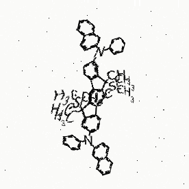 CC1([Si](C)(C)C)c2cc(N(c3ccccc3)c3ccc4ccccc4c3)ccc2-c2cc3c(cc21)-c1ccc(N(c2ccccc2)c2ccc4ccccc4c2)cc1C3(C)[Si](C)(C)C